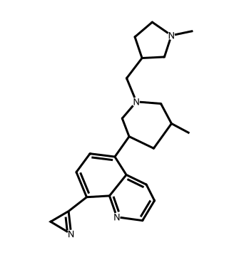 CC1CC(c2ccc(C3=NC3)c3ncccc23)CN(CC2CCN(C)C2)C1